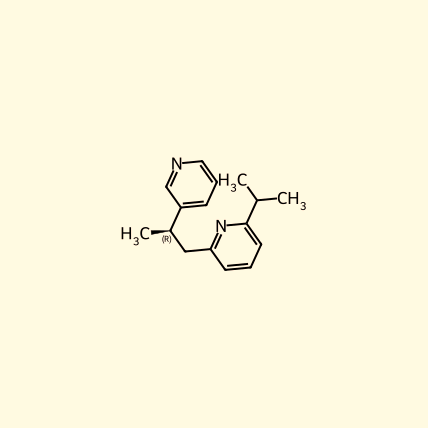 CC(C)c1cccc(C[C@@H](C)c2cccnc2)n1